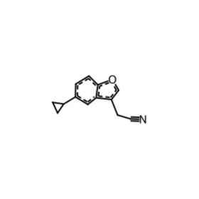 N#CCc1coc2ccc(C3CC3)cc12